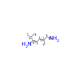 C/C(=C\C=C(\N)C(C)C)CN